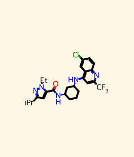 CCn1nc(C(C)C)cc1C(=O)N[C@@H]1CCC[C@H](Nc2cc(C(F)(F)F)nc3ccc(Cl)cc23)C1